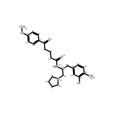 COc1ccc(C(=O)CCCC(=O)N[C@@H](Cc2ccc(C)c(F)c2)CN2CCCC2)cc1